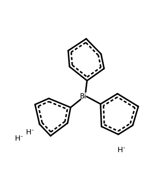 [H-].[H-].[H-].c1cc[c]([Bi]([c]2ccccc2)[c]2ccccc2)cc1